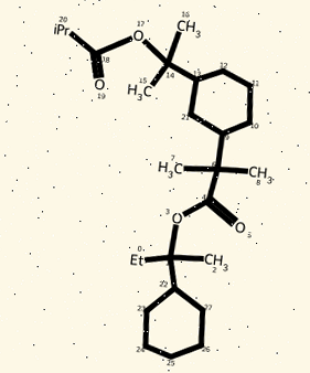 CCC(C)(OC(=O)C(C)(C)C1CCCC(C(C)(C)OC(=O)C(C)C)C1)C1CCCCC1